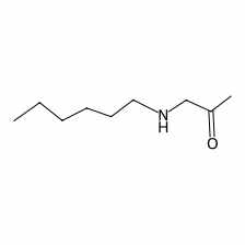 CCCCCCNCC(C)=O